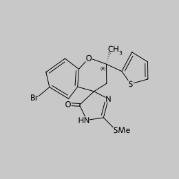 CSC1=NC2(C[C@](C)(c3cccs3)Oc3ccc(Br)cc32)C(=O)N1